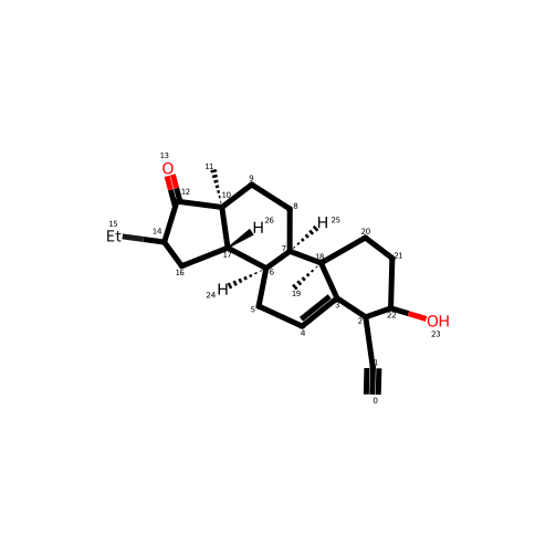 C#CC1C2=CC[C@@H]3[C@@H](CC[C@]4(C)C(=O)C(CC)C[C@@H]34)[C@@]2(C)CCC1O